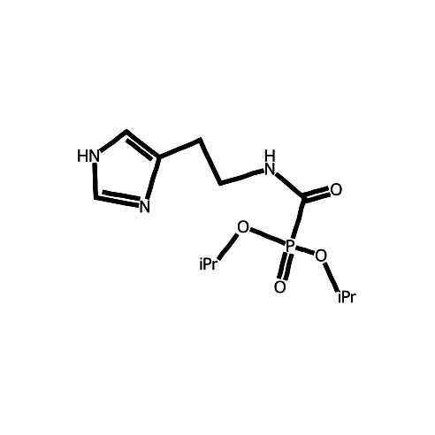 CC(C)OP(=O)(OC(C)C)C(=O)NCCc1c[nH]cn1